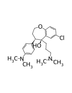 CN(C)CCC[C@@]1(O)c2cc(Cl)ccc2OCC[C@@H]1c1ccc(N(C)C)cc1